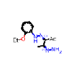 CCOc1ccccc1N/N=C(C(C)=O)\C(C)=N/N